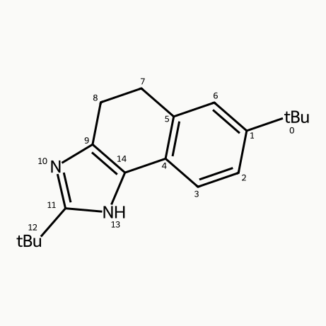 CC(C)(C)c1ccc2c(c1)CCc1nc(C(C)(C)C)[nH]c1-2